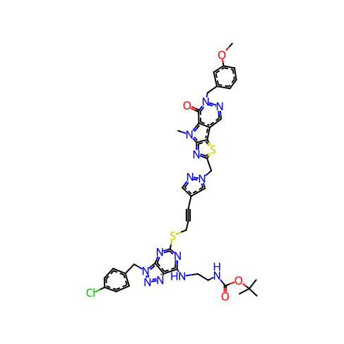 COc1cccc(Cn2ncc3c4sc(Cn5cc(C#CCSc6nc(NCCNC(=O)OC(C)(C)C)c7nnn(Cc8ccc(Cl)cc8)c7n6)cn5)nc4n(C)c3c2=O)c1